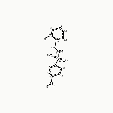 COc1ccc(S(=O)(=O)NCc2ccccc2C)cc1